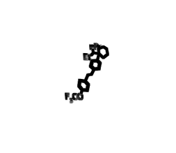 CCCC(CC)C1(c2ccc(CCc3ccc(OC(F)(F)F)cc3)cc2)CCCCC1